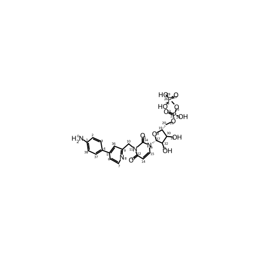 Nc1ccc(-c2ccnc(Cn3c(=O)ccn([C@@H]4O[C@H](COP(=O)(O)OP(=O)(O)O)C(O)C4O)c3=O)c2)cc1